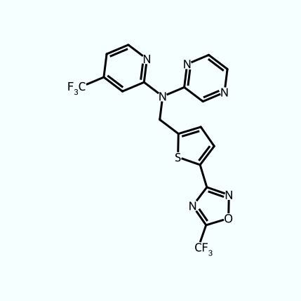 FC(F)(F)c1ccnc(N(Cc2ccc(-c3noc(C(F)(F)F)n3)s2)c2cnccn2)c1